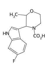 CC1OCCN(C(=O)O)C1c1c[nH]c2cc(F)ccc12